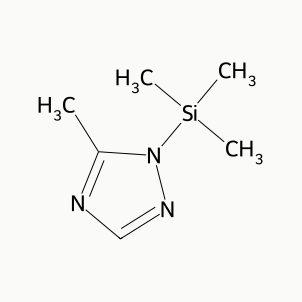 Cc1ncnn1[Si](C)(C)C